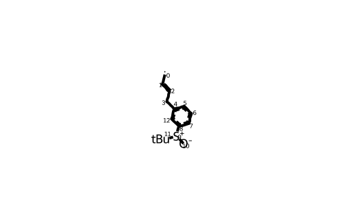 [CH2]/C=C/Cc1cccc([S+]([O-])C(C)(C)C)c1